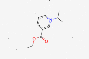 CCOC(=O)c1ccc[n+](C(C)C)c1